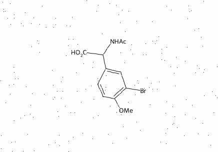 COc1ccc(C(NC(C)=O)C(=O)O)cc1Br